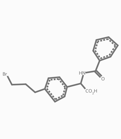 O=C(NC(C(=O)O)c1ccc(CCCBr)cc1)c1ccccc1